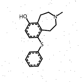 CN1CCc2c(O)ccc(Sc3ccccc3)c2CC1